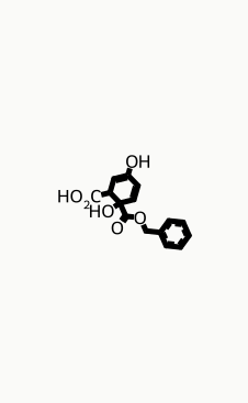 O=C(O)C1C=C(O)C=CC1(O)C(=O)OCc1ccccc1